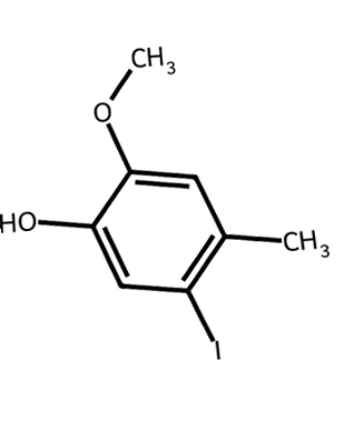 COc1cc(C)c(I)cc1O